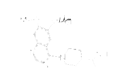 COc1cc2ncnc(N3CCC(C(C)N)CC3)c2cc1OC.Cl.Cl